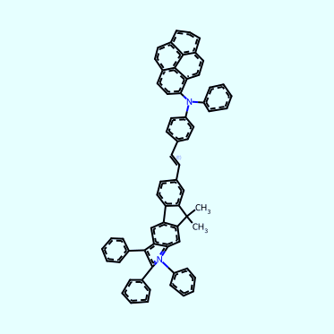 CC1(C)c2cc(/C=C/c3ccc(N(c4ccccc4)c4ccc5ccc6cccc7ccc4c5c67)cc3)ccc2-c2cc3c(-c4ccccc4)c(-c4ccccc4)n(-c4ccccc4)c3cc21